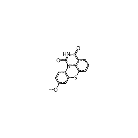 COc1ccc2c(c1)Sc1cccc3c(=O)[nH]c(=O)n-2c13